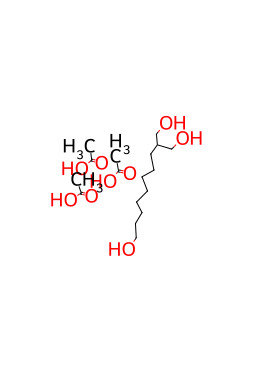 CC(=O)O.CC(=O)O.CC(=O)O.OCCCCCCCCC(CO)CO